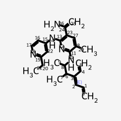 C=C/C=C(\C=C)C(C)C(C)Nc1nc(Nc2ccnc(CC)c2)c(C(=C)N)cc1C